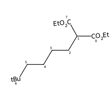 CCOC(=O)C(CCCCC(C)(C)C)C(=O)OCC